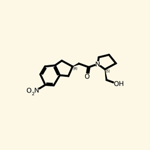 O=C(C[C@@H]1Cc2ccc([N+](=O)[O-])cc2C1)N1CCC[C@H]1CO